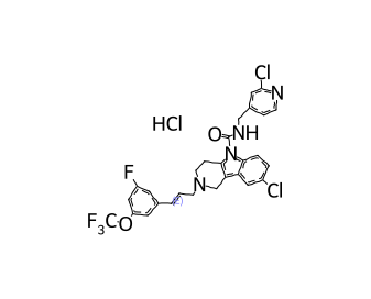 Cl.O=C(NCc1ccnc(Cl)c1)n1c2c(c3cc(Cl)ccc31)CN(C/C=C/c1cc(F)cc(OC(F)(F)F)c1)CC2